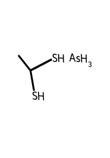 CC(S)S.[AsH3]